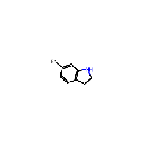 [CH2]Cc1ccc2c(c1)NCC2